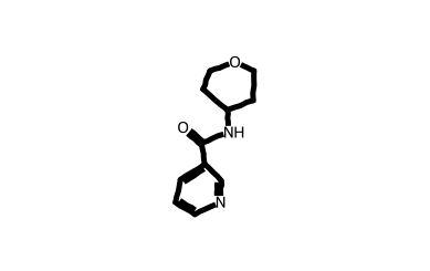 O=C(NC1CCOCC1)c1cccnc1